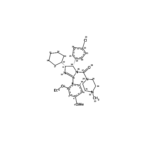 CCOc1cc(OC)ccc1C1=N[C@H](C2CCCCC2)[C@H](c2ccc(Cl)cc2)N1C(=O)N1CCN(C)CC1